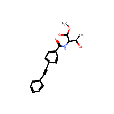 COC(=O)C(NC(=O)c1ccc(C#Cc2ccccc2)cc1)[C@@H](C)O